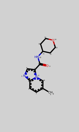 Cc1ccc2ncc(C(=O)NC3CCOCC3)n2c1